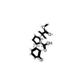 COC(=O)C(C)(C)[C@H]1CC[C@@H](c2cccc(F)c2)N1C(=O)O